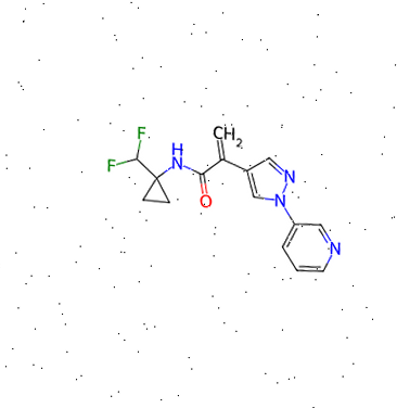 C=C(C(=O)NC1(C(F)F)CC1)c1cnn(-c2cccnc2)c1